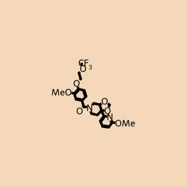 COc1cccc(C23CCN(C(=O)c4ccc(OCCOC(F)(F)F)c(OC)c4)CC2OCO3)n1